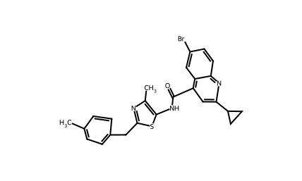 Cc1ccc(Cc2nc(C)c(NC(=O)c3cc(C4CC4)nc4ccc(Br)cc34)s2)cc1